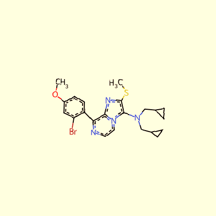 COc1ccc(-c2nccn3c(N(CC4CC4)CC4CC4)c(SC)nc23)c(Br)c1